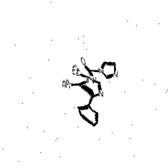 CCCC1=C(c2ccccc2)N=C[N+]1(CC)C(=O)n1ccnc1